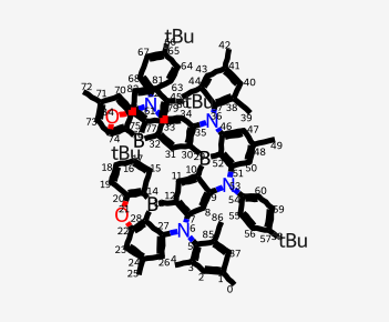 Cc1cc(C)c(N2c3cc4c(cc3B3c5cc(C(C)(C)C)ccc5Oc5cc(C)cc2c53)B2c3cc5c(cc3N(c3c(C)cc(C)cc3C)c3cc(C)cc(c32)N4c2ccc(C(C)(C)C)cc2)N(c2ccc(C(C)(C)C)cc2)c2cc(C)cc3c2B5c2cc(C(C)(C)C)ccc2O3)c(C)c1